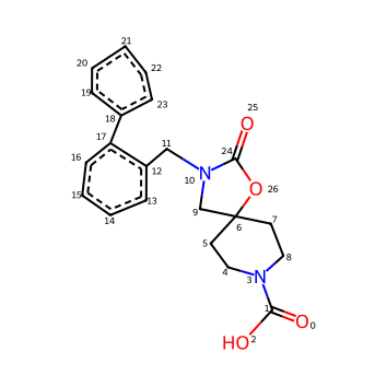 O=C(O)N1CCC2(CC1)CN(Cc1ccccc1-c1ccccc1)C(=O)O2